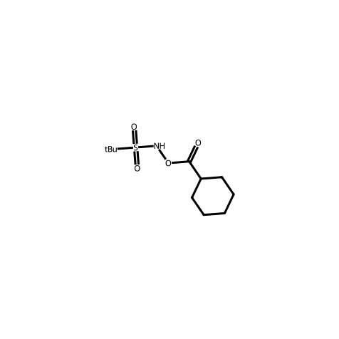 CC(C)(C)S(=O)(=O)NOC(=O)C1CCCCC1